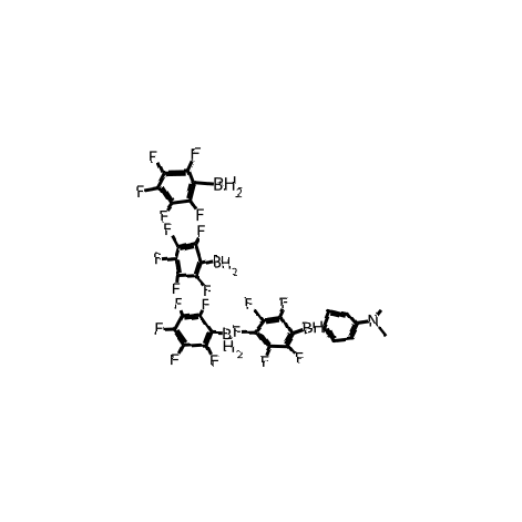 Bc1c(F)c(F)c(F)c(F)c1F.Bc1c(F)c(F)c(F)c(F)c1F.Bc1c(F)c(F)c(F)c(F)c1F.Bc1c(F)c(F)c(F)c(F)c1F.CN(C)c1ccccc1